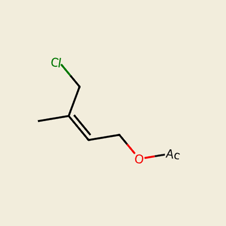 CC(=O)OCC=C(C)CCl